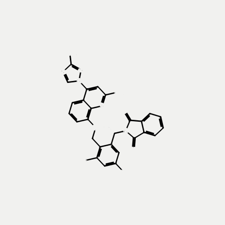 Cc1cc(-n2cnc(C)n2)c2cccc(OCc3c(Cl)cc(F)cc3[C@H](C)N3C(=O)c4ccccc4C3=O)c2n1